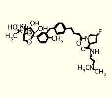 Cc1ccc([C@]23OC[C@](C(C)(C)O)(O2)[C@@H](O)[C@H](O)[C@H]3O)cc1Cc1ccc(CCCC(=O)N2CC(F)CC2C(=O)NCCN(C)C)cc1